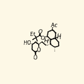 CCC(C)(C)C(=O)O[C@H]1C[C@@H](C(C)=O)C[C@@H]2CC[C@H](C)[C@H](CC[C@@H]3C[C@@H](O)CC(=O)O3)[C@H]21